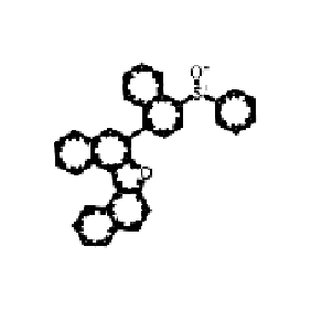 [O-][S+](c1ccccc1)c1ccc(-c2cc3ccccc3c3c2oc2ccc4ccccc4c23)c2ccccc12